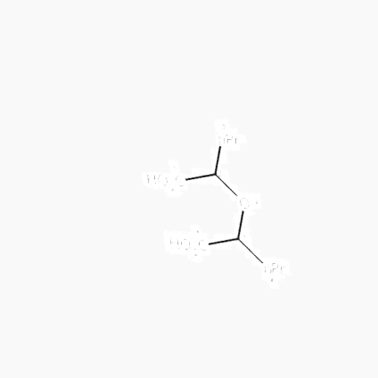 CCCC(OC(CCC)C(=O)O)C(=O)O